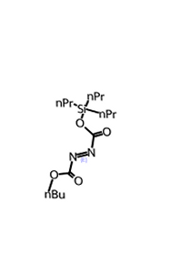 CCCCOC(=O)/N=N/C(=O)O[Si](CCC)(CCC)CCC